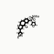 CNS(=O)(=O)N(c1ccc2ccc3ncc(-c4cnn(C)c4)cc3c(=O)c2c1)C1CCOC1